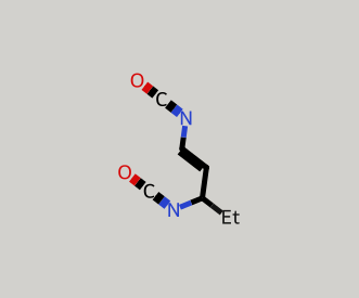 CCC(C=CN=C=O)N=C=O